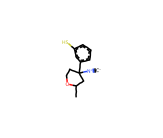 [C-]#[N+]C1(c2cccc(S)c2)CCOC(C)C1